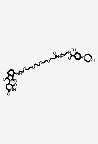 CN(CCCNC(=O)CCOCCOCCOCCOCCNc1cccc2c1C(=O)N(C1CCC(=O)NC1=O)C2=O)C(=O)c1ccc(N2CCCNCC2)cc1